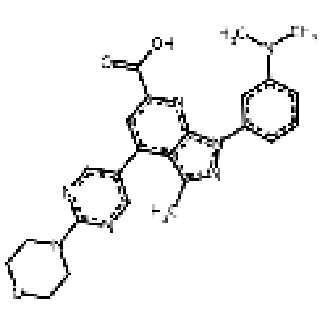 Cc1nn(-c2cccc(N(C)C)c2)c2nc(C(=O)O)cc(-c3cnc(N4CCOCC4)nc3)c12